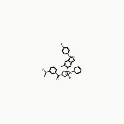 Cc1cc2c(cnn2-c2ccc(F)cc2)cc1[C@]12CN(C(=O)c3cccc(C(F)F)c3)C[C@H]1[C@@H]2C1C=CC=CC1